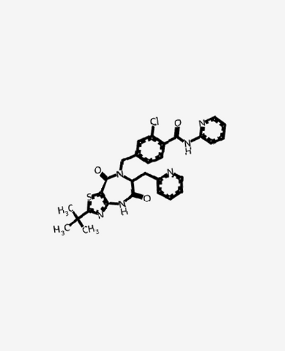 CC(C)(C)c1nc2c(s1)C(=O)N(Cc1ccc(C(=O)Nc3ccccn3)c(Cl)c1)C(Cc1ccccn1)C(=O)N2